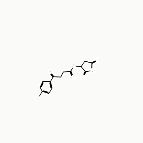 O=C1CC(OC(=O)CCC(=O)c2ccc(F)cc2)C(=O)N1